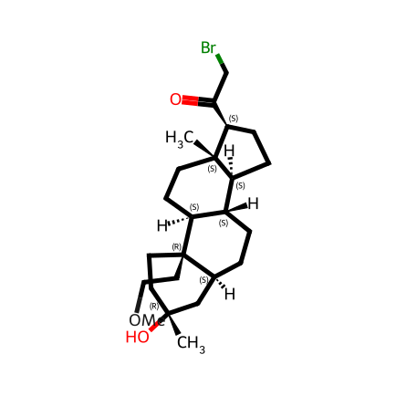 COCC[C@]12CC[C@@](C)(O)C[C@@H]1CC[C@H]1[C@@H]3CC[C@H](C(=O)CBr)[C@@]3(C)CC[C@@H]12